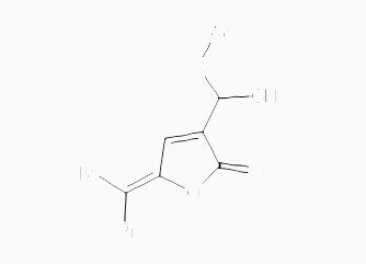 CC(=O)SC(C)C1=CC(=C(Br)Br)OC1=O